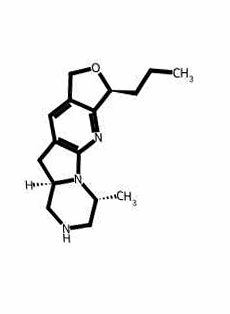 CCC[C@@H]1OCc2cc3c(nc21)N1[C@@H](CNC[C@H]1C)C3